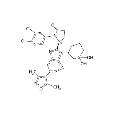 Cc1noc(C)c1-c1ccc2c(c1)nc([C@@H]1CCC(=O)N1c1ccc(Cl)c(Cl)c1)n2C1CCCS(O)(O)C1